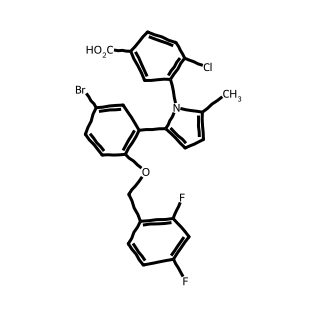 Cc1ccc(-c2cc(Br)ccc2OCc2ccc(F)cc2F)n1-c1cc(C(=O)O)ccc1Cl